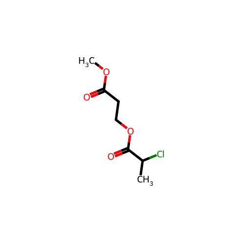 COC(=O)CCOC(=O)C(C)Cl